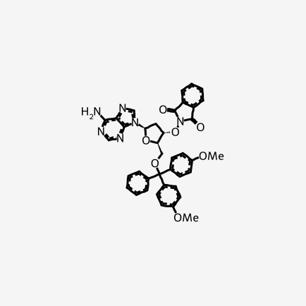 COc1ccc(C(OC[C@H]2O[C@@H](n3cnc4c(N)ncnc43)C[C@@H]2ON2C(=O)c3ccccc3C2=O)(c2ccccc2)c2ccc(OC)cc2)cc1